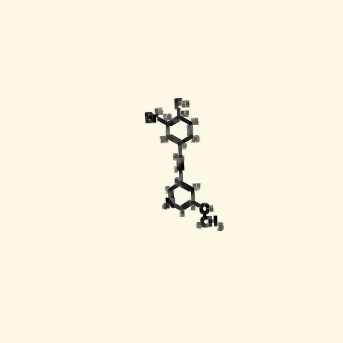 COc1cncc(C#Cc2ccc(F)c(Br)c2)c1